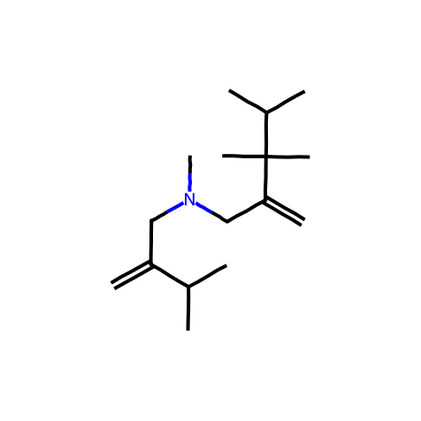 C=C(CN(C)CC(=C)C(C)(C)C(C)C)C(C)C